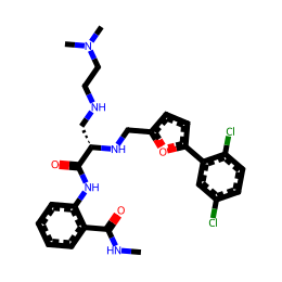 CNC(=O)c1ccccc1NC(=O)[C@H](CNCCN(C)C)NCc1ccc(-c2cc(Cl)ccc2Cl)o1